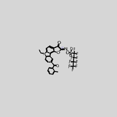 CCn1c2ccc(C(=O)c3ccccc3C)cc2c2c3c(ccc21)C(=O)/C(=N/OS(=O)(=O)C(F)(F)C(F)(F)C(F)(F)C(F)(F)F)O3